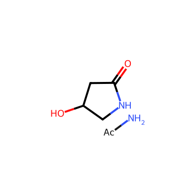 CC(N)=O.O=C1CC(O)CN1